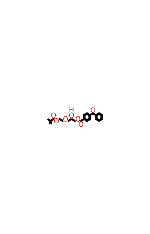 C=C(C)C(=O)OCCOCC(O)COC(=O)c1ccc(C(=O)c2ccccc2)cc1